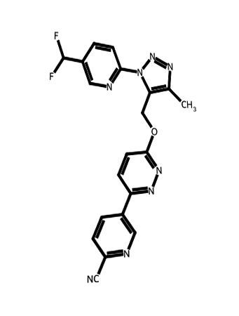 Cc1nnn(-c2ccc(C(F)F)cn2)c1COc1ccc(-c2ccc(C#N)nc2)nn1